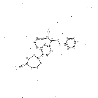 CCCN1CCCN(c2ccc3c4c(cccc24)C(=O)N3CCc2ccccc2)CC1